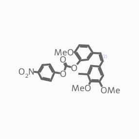 COc1ccc(/C=C\c2cc(C)c(OC)c(OC)c2)cc1OC(=O)Oc1ccc([N+](=O)[O-])cc1